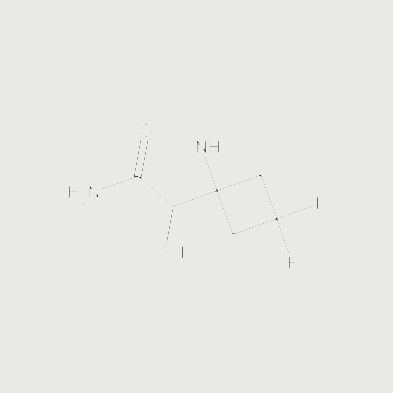 NC(=O)C(O)C1(N)CC(F)(F)C1